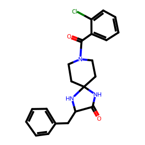 O=C1NC2(CCN(C(=O)c3ccccc3Cl)CC2)NC1Cc1ccccc1